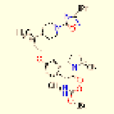 Cc1cc(OCC[C@@H](C)C2CCN(c3nc(C(C)C)no3)CC2)ccc1C(NC(=O)OC(C)(C)C)C(=O)N1CCC[C@H]1C#N